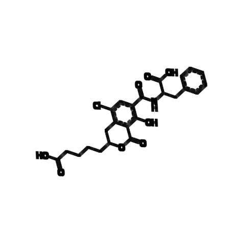 O=C(O)CCCCC1Cc2c(Cl)cc(C(=O)NC(Cc3ccccc3)C(=O)O)c(O)c2C(=O)O1